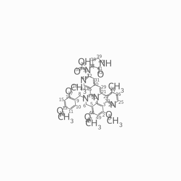 COc1ccc(CN(Cc2ccc(OC)cc2OC)c2nc(-c3cnccc3C)cc3cc(N(C(=O)O)[C@@H]4CCNC4=O)ncc23)c(OC)c1